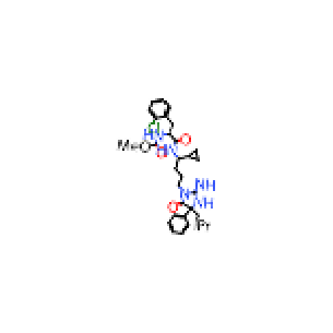 COC(=O)N[C@@H](Cc1ccccc1Cl)C(=O)NC(CCCN1C(=N)NC(CC(C)C)(c2ccccc2)C1=O)C1CC1